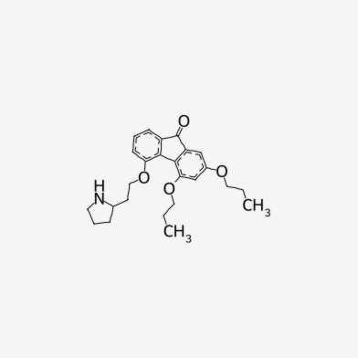 CCCOc1cc(OCCC)c2c(c1)C(=O)c1cccc(OCCC3CCCN3)c1-2